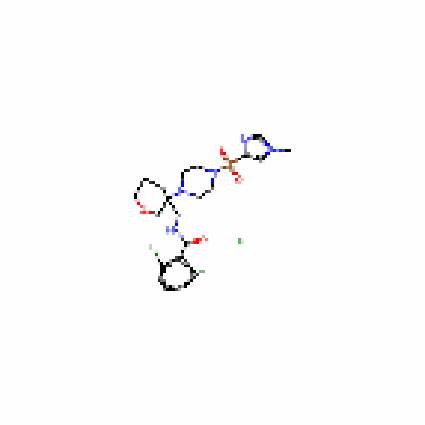 Cl.Cn1cnc(S(=O)(=O)N2CCN(C3(CNC(=O)c4c(F)cccc4F)CCCOC3)CC2)c1